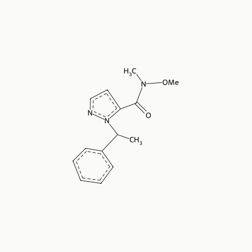 CON(C)C(=O)c1ccnn1C(C)c1ccccc1